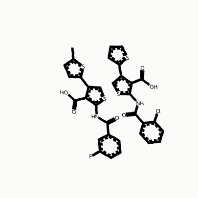 Cc1ccc(-c2csc(NC(=O)c3cccc(F)c3)c2C(=O)O)s1.O=C(Nc1scc(-c2cccs2)c1C(=O)O)c1ccccc1Cl